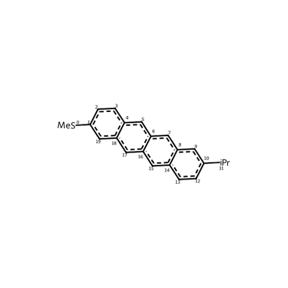 CSc1ccc2cc3cc4cc(C(C)C)ccc4cc3cc2c1